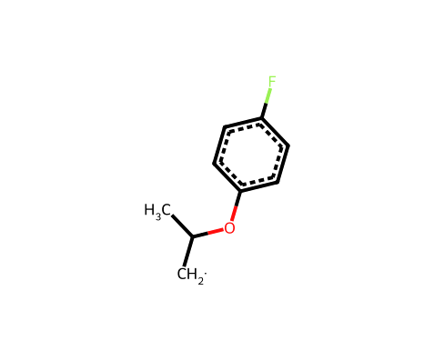 [CH2]C(C)Oc1ccc(F)cc1